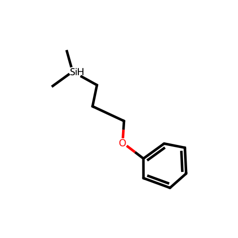 C[SiH](C)CCCOc1ccccc1